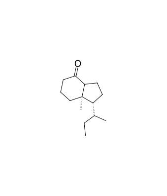 CCC(C)[C@H]1CCC2C(=O)CCC[C@@]21C